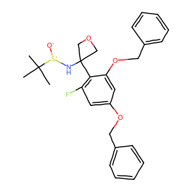 CC(C)(C)[S+]([O-])NC1(c2c(F)cc(OCc3ccccc3)cc2OCc2ccccc2)COC1